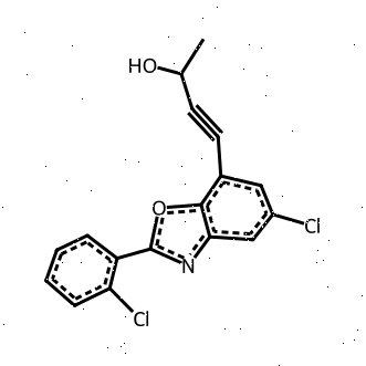 CC(O)C#Cc1cc(Cl)cc2nc(-c3ccccc3Cl)oc12